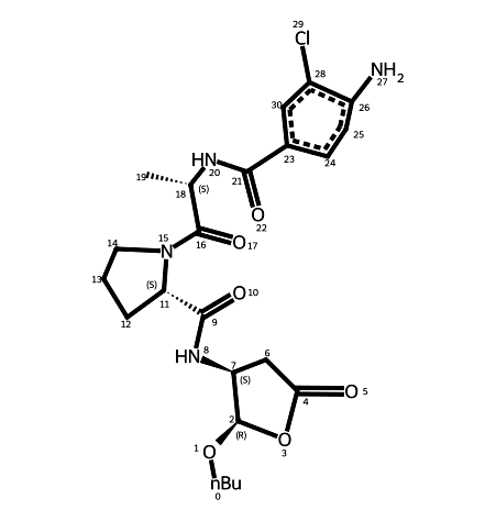 CCCCO[C@@H]1OC(=O)C[C@@H]1NC(=O)[C@@H]1CCCN1C(=O)[C@H](C)NC(=O)c1ccc(N)c(Cl)c1